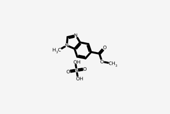 COC(=O)c1ccc2c(c1)ncn2C.O=S(=O)(O)O